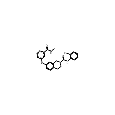 CNC(=O)c1cc(Oc2ccc3c(c2)CN(C(=O)Nc2ccccc2Cl)CC3)ccn1